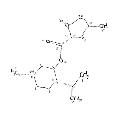 CC(C)[C@@H]1CC[C@H](C)CC1OC(=O)[C@@H]1OCC(O)S1